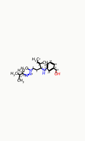 C/C=C(\C)C(CCN(C)/N=N\C(C)C(C)C)Nc1cccc(CO)c1